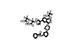 O=C(Nc1cccc(N2CCN(c3ncnc4ccc(-c5cn[nH]c5)cc34)CC2)c1)c1ccccc1.O=C(O)C(F)(F)F.O=C(O)C(F)(F)F.O=C(O)C(F)(F)F